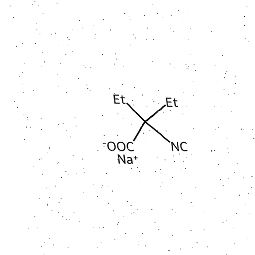 [C-]#[N+]C(CC)(CC)C(=O)[O-].[Na+]